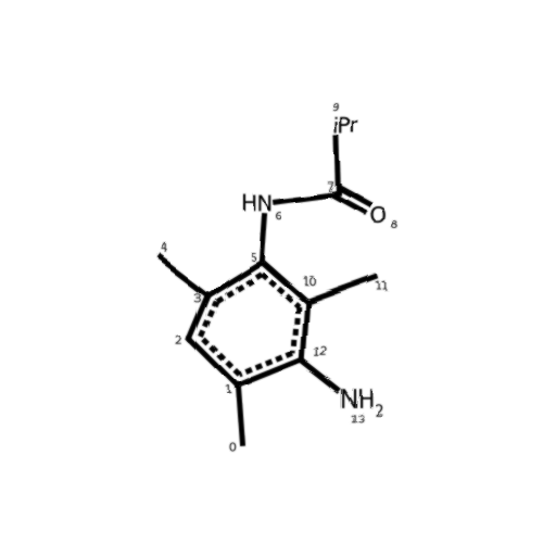 Cc1cc(C)c(NC(=O)C(C)C)c(C)c1N